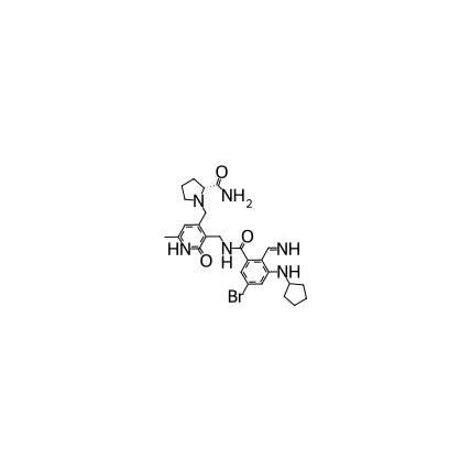 Cc1cc(CN2CCC[C@@H]2C(N)=O)c(CNC(=O)c2cc(Br)cc(NC3CCCC3)c2C=N)c(=O)[nH]1